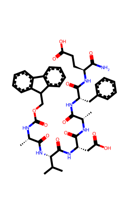 CC(C)[C@H](NC(=O)[C@H](C)NC(=O)OCC1c2ccccc2-c2ccccc21)C(=O)N[C@@H](CC(=O)O)C(=O)N[C@@H](C)C(=O)N[C@@H](Cc1ccccc1)C(=O)N[C@@H](CCC(=O)O)C(N)=O